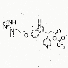 O=C(CC(c1ccncc1)c1c[nH]c2cc(OCCCNc3ncc[nH]3)ccc12)OC(=O)C(F)(F)F